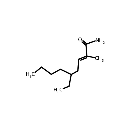 CCCCC(CC)C/C=C(\C)C(N)=O